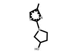 Cc1csc(N2CCC(O)C2)n1